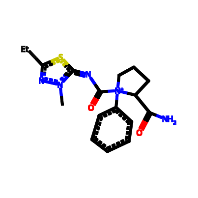 CCc1nn(C)c(=NC(=O)[N+]2(c3ccccc3)CCCC2C(N)=O)s1